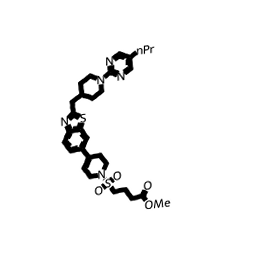 CCCc1cnc(N2CCC(Cc3nc4ccc(C5=CCN(S(=O)(=O)CCCC(=O)OC)CC5)cc4s3)CC2)nc1